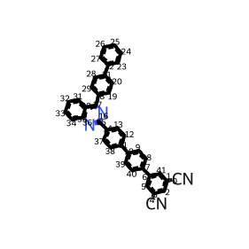 N#Cc1cc(C#N)cc(-c2ccc(-c3ccc(-c4nc(-c5ccc(-c6ccccc6)cc5)c5ccccc5n4)cc3)cc2)c1